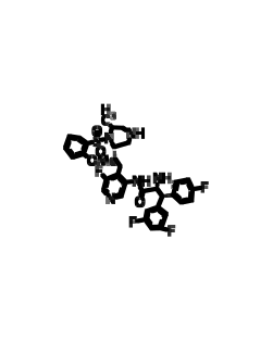 COc1ccccc1S(=O)(=O)N1[C@@H](CCc2c(F)cncc2NC(=O)[C@@H](N)[C@@H](c2ccc(F)cc2)c2cc(F)cc(F)c2)CNC[C@@H]1C